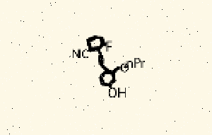 CCCOCc1cc(O)ccc1C#Cc1c(F)cccc1C#N